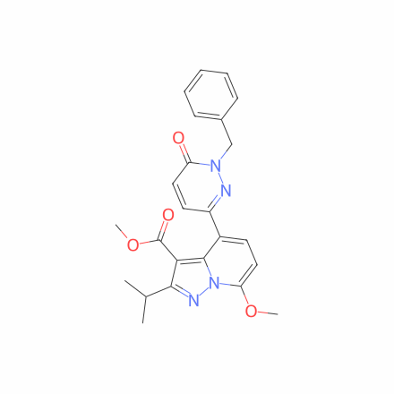 COC(=O)c1c(C(C)C)nn2c(OC)ccc(-c3ccc(=O)n(Cc4ccccc4)n3)c12